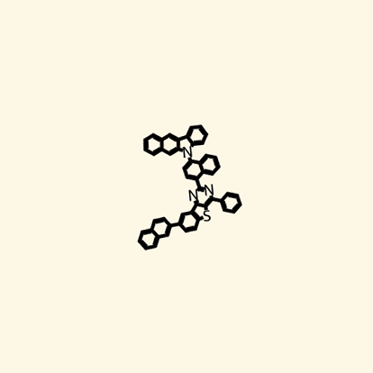 c1ccc(-c2nc(-c3ccc(-n4c5ccccc5c5cc6ccccc6cc54)c4ccccc34)nc3c2sc2ccc(-c4ccc5ccccc5c4)cc23)cc1